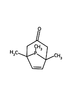 CP1C2(C)C=CC1(C)CC(=O)C2